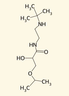 CC(C)OCC(O)C(=O)NCCNC(C)(C)C